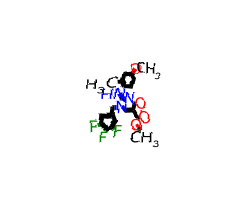 CCOC(=O)c1cn(Cc2cc(F)c(F)c(F)c2)c(Nc2ccc(OC)cc2C)nc1=O